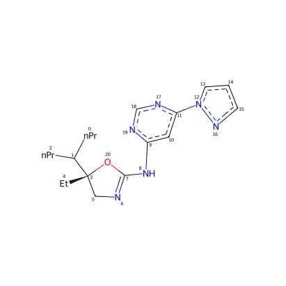 CCCC(CCC)[C@@]1(CC)CN=C(Nc2cc(-n3cccn3)ncn2)O1